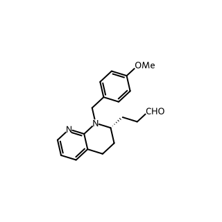 COc1ccc(CN2c3ncccc3CC[C@H]2CCC=O)cc1